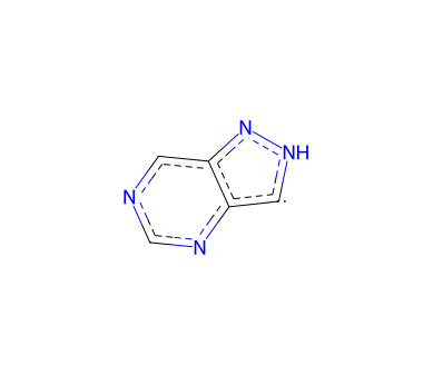 [c]1[nH]nc2cncnc12